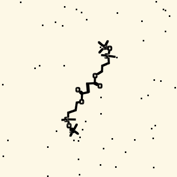 C[Si](C)(C)O[Si](C)(C)CCCOC(=O)C=CC(=O)OCCC[Si](C)(C)O[Si](C)(C)C